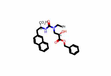 CC(C)CN(C[C@@H](O)C(=O)OCc1ccccc1)C(=O)N[C@H](Cc1ccc2ccccc2c1)C(=O)O